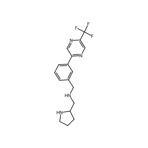 FC(F)(F)c1cnc(-c2cccc(CNCC3CCCN3)c2)cn1